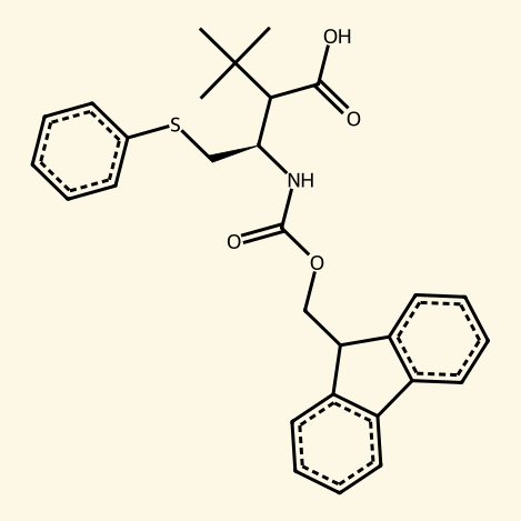 CC(C)(C)C(C(=O)O)[C@H](CSc1ccccc1)NC(=O)OCC1c2ccccc2-c2ccccc21